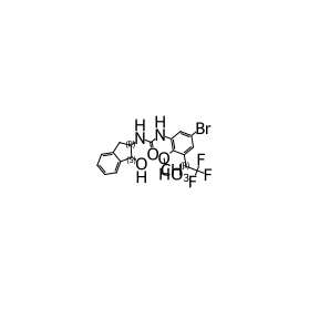 COc1c(NC(=O)N[C@@H]2Cc3ccccc3[C@@H]2O)cc(Br)cc1[C@@H](O)C(F)(F)F